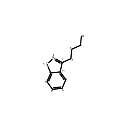 CCCCc1nsc2ccccc12